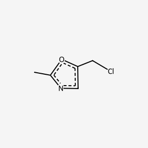 Cc1ncc(CCl)o1